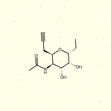 C#CC[C@H]1O[C@H](CC)[C@H](O)[C@H](O)[C@H]1NC(C)=O